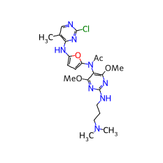 COc1nc(NCCCN(C)C)nc(OC)c1N(C(C)=O)c1ccc(Nc2nc(Cl)ncc2C)o1